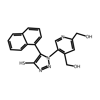 OCc1cc(CO)c(-n2nnc(S)c2-c2cccc3ccccc23)cn1